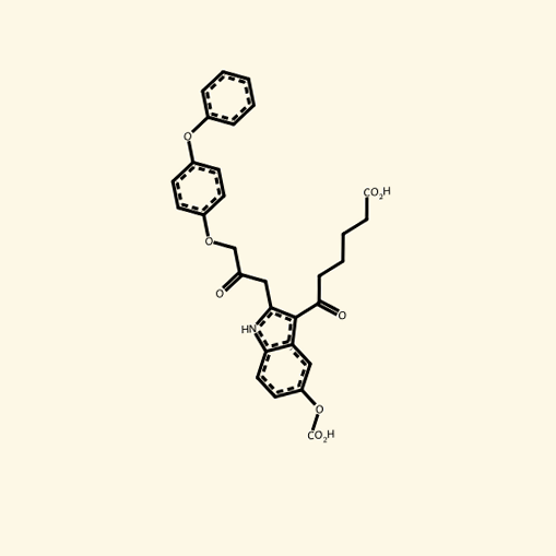 O=C(O)CCCCC(=O)c1c(CC(=O)COc2ccc(Oc3ccccc3)cc2)[nH]c2ccc(OC(=O)O)cc12